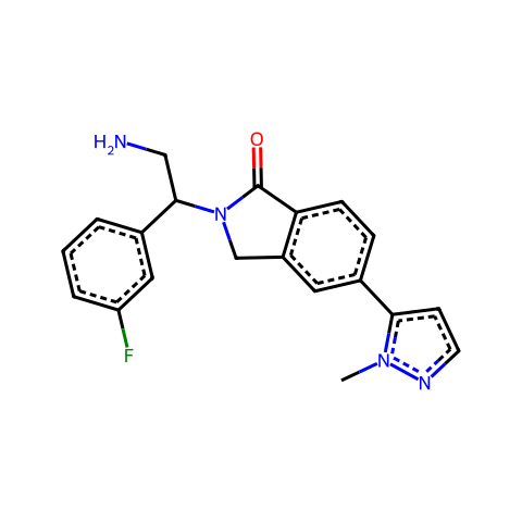 Cn1nccc1-c1ccc2c(c1)CN(C(CN)c1cccc(F)c1)C2=O